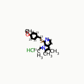 CCn1c(C)c(C)c2ccnc(SCc3ccc(OC)cc3)c21.Cl